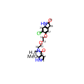 COc1[nH]ccc1C(=O)N(C)CCOCCOc1cc2c(cc1Cl)NC(=O)C2